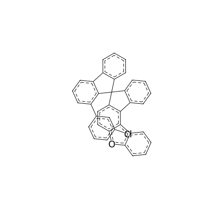 Clc1cccc(-c2cccc3c2C2(c4ccccc4-3)c3ccccc3-c3c2ccc2oc4ccccc4c32)c1